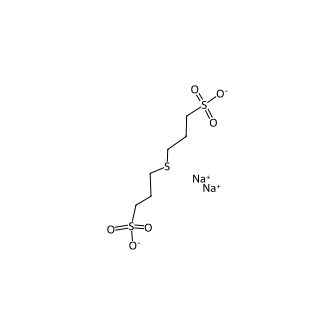 O=S(=O)([O-])CCCSCCCS(=O)(=O)[O-].[Na+].[Na+]